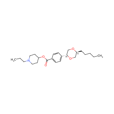 CCCCC[C@H]1CO[C@H](c2ccc(C(=O)OC3CCN(CCC)CC3)cc2)CO1